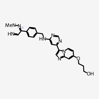 CN/N=C(\C=N)c1ccc(CNc2cc(-c3cnc4cc(OCCCO)ccn34)ncn2)cc1